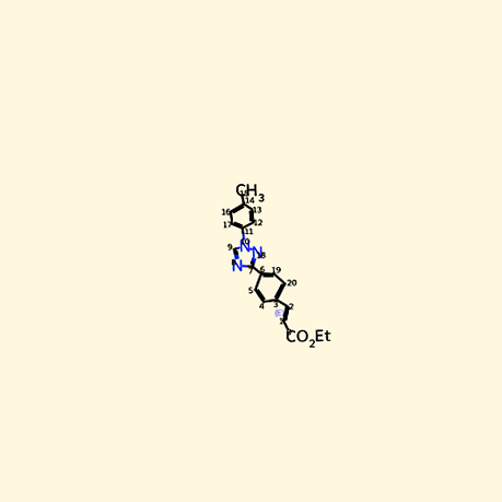 CCOC(=O)/C=C/c1ccc(-c2ncn(-c3ccc(C)cc3)n2)cc1